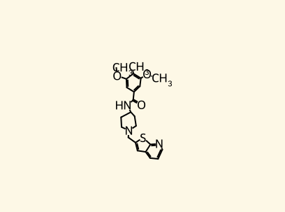 COc1cc(C(=O)NC2CCN(Cc3cc4cccnc4s3)CC2)cc(OC)c1C